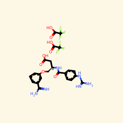 N=C(N)Nc1ccc(C(=O)N[C@@H](COc2cccc(C(=N)N)c2)CC(=O)O)cc1.O=C(O)C(F)(F)F.O=C(O)C(F)(F)F